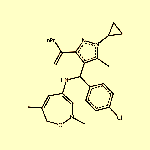 C=C(CCC)c1nn(C2CC2)c(C)c1C(NC1=CN(C)OCC(C)=C1)c1ccc(Cl)cc1